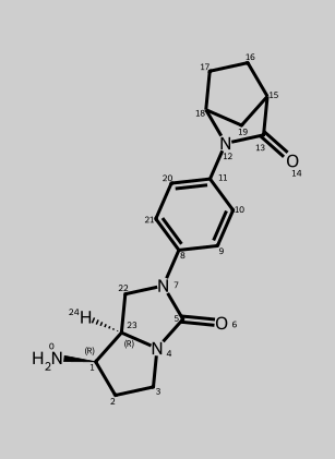 N[C@@H]1CCN2C(=O)N(c3ccc(N4C(=O)C5CCC4C5)cc3)C[C@H]12